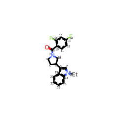 CCn1cc(C2CCN(C(=O)c3ccc(F)cc3F)C2)c2ccccc21